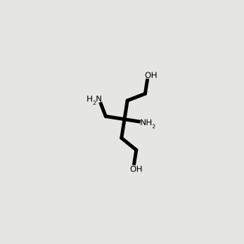 NCC(N)(CCO)CCO